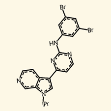 CC(C)n1cc(-c2ccnc(Nc3cc(Br)cc(Br)c3)n2)c2ccncc21